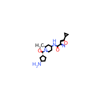 C[C@@H]1CC(NC(=O)c2cc(C3CC3)on2)CCN1C(=O)[C@@H]1CC[C@H](N)C1